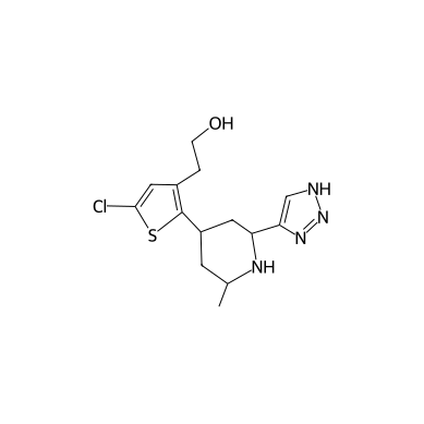 CC1CC(c2sc(Cl)cc2CCO)CC(c2c[nH]nn2)N1